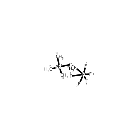 F[P-](F)(F)(F)(F)F.[CH3][Pb]([CH3])([CH3])[CH3]